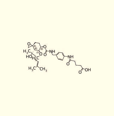 CO[C@H]1[C@H](C(C)(O)CCC=C(C)C)[C@]2(CC[C@H]1OC(=O)NCc1ccc(NC(=O)CCCC(=O)O)cc1)CO2